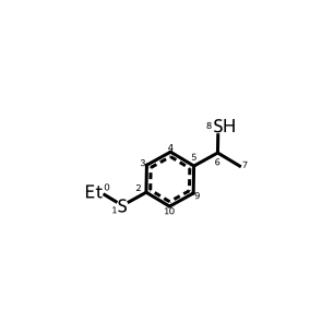 CCSc1ccc(C(C)S)cc1